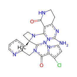 C[C@@]1(c2nn3ccc(Cl)c3c(=O)n2Cc2ccccn2)CCN1c1nc(N)nc2c1C(=O)NCC2